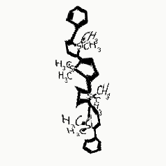 C[Si]1(C)C(C2=CC=C(C3=CC=C(c4ccccc4)[Si]3(C)C)[Si]2(C)C)=CC=C1C1=CC=C(c2ccccc2)[Si]1(C)C